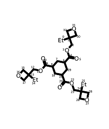 CCC1(COC(=O)C2CC(C(=O)OCC3(CC)COC3)CC(C(=O)OCC3(CC)COC3)C2)COC1